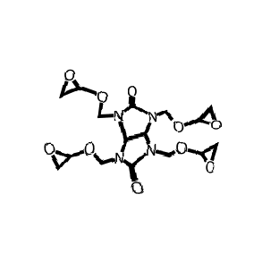 O=C1N(COC2CO2)C2C(N1COC1CO1)N(COC1CO1)C(=O)N2COC1CO1